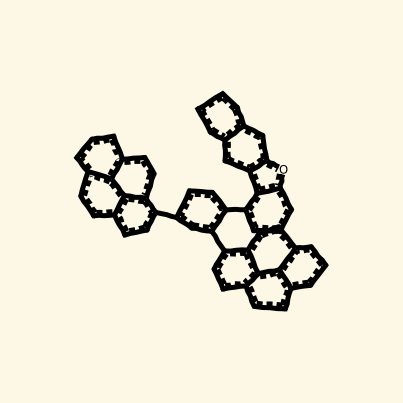 c1ccc2cc3c(cc2c1)oc1cccc(-c2ccc(-c4ccc5ccc6cccc7ccc4c5c67)cc2-c2ccc4ccc5cccc6ccc2c4c56)c13